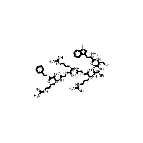 CC(C)C[C@H](NC(=O)[C@@H](N)Cc1c[nH]c2ccccc12)C(=O)N[C@H](C(=O)N[C@@H](CCCNC(=N)N)C(=O)NCC(=O)N[C@@H](CCCNC(=N)N)C(=O)NCC(=O)N[C@@H](CCCCNC(=N)N)C(=O)C(=O)OCc1ccccc1)C(C)C